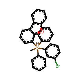 C[SH](c1ccccc1)(c1ccccc1)(c1cccc(Br)c1)c1cccc2c1oc1ccccc12